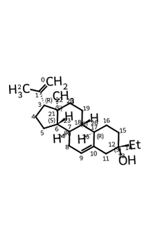 C=C(C)[C@H]1CC[C@H]2[C@@H]3CC=C4C[C@](O)(CC)CC[C@@H]4[C@H]3CC[C@]12C